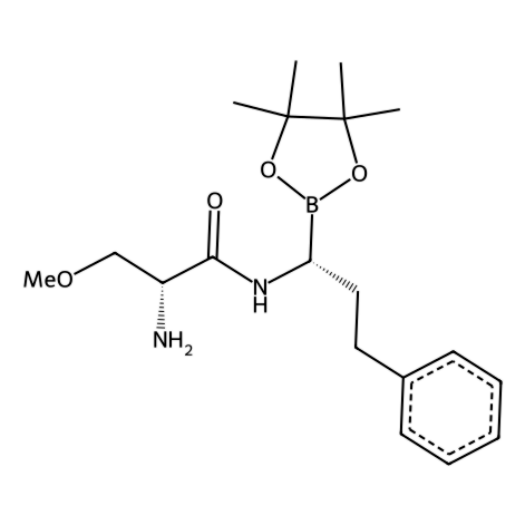 COC[C@@H](N)C(=O)N[C@@H](CCc1ccccc1)B1OC(C)(C)C(C)(C)O1